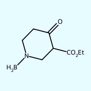 BN1CCC(=O)C(C(=O)OCC)C1